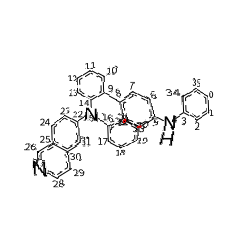 c1ccc(Nc2ccc(-c3ccccc3N(c3ccccc3)c3ccc4cnccc4c3)cc2)cc1